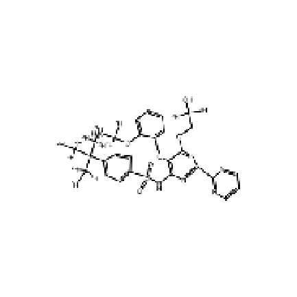 [2H]C([2H])(O)COc1nc(-c2ncccn2)nc(NS(=O)(=O)c2ccc(C(C([2H])([2H])[2H])(C([2H])([2H])[2H])C([2H])([2H])[2H])cc2)c1Oc1ccccc1OC([2H])([2H])C